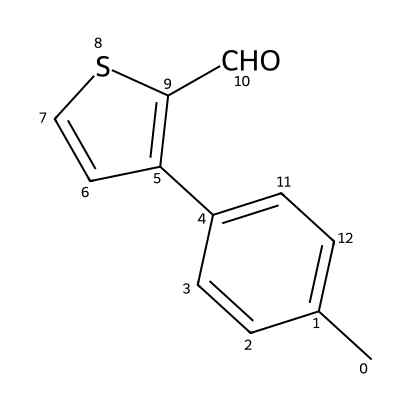 Cc1ccc(-c2ccsc2C=O)cc1